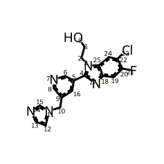 OCCn1c(-c2cncc(Cn3ccnc3)c2)nc2cc(F)c(Cl)cc21